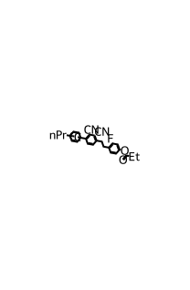 CCCC12CCC(c3ccc(CCc4ccc(OC(=O)CC)cc4F)c(C#N)c3C#N)(CC1)CC2